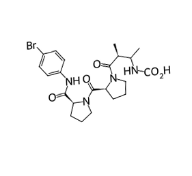 CC(NC(=O)O)[C@H](C)C(=O)N1CCC[C@H]1C(=O)N1CCC[C@H]1C(=O)Nc1ccc(Br)cc1